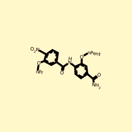 CCCCCOc1cc(C(N)=O)ccc1NC(=O)c1ccc([N+](=O)[O-])c(OCCC)c1